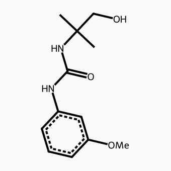 COc1cccc(NC(=O)NC(C)(C)CO)c1